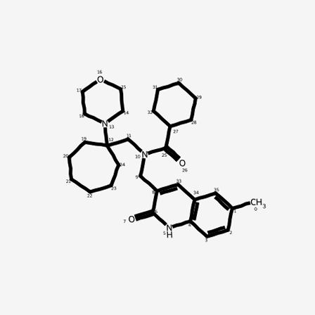 Cc1ccc2[nH]c(=O)c(CN(CC3(N4CCOCC4)CCCCCC3)C(=O)C3CCCCC3)cc2c1